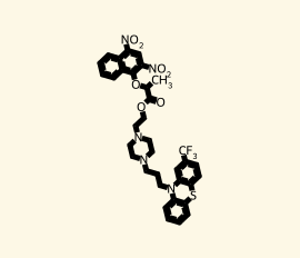 CC(Oc1c([N+](=O)[O-])cc([N+](=O)[O-])c2ccccc12)C(=O)OCCN1CCN(CCCN2c3ccccc3Sc3ccc(C(F)(F)F)cc32)CC1